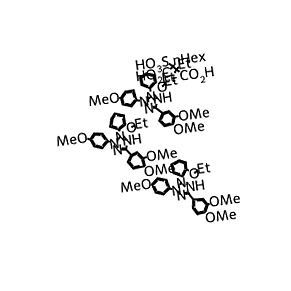 CCCCCCC(C(=O)O)(C(CC)(CC)C(=O)O)S(=O)(=O)O.CCOc1ccccc1N1NC(c2ccc(OC)c(OC)c2)=NN1c1ccc(OC)cc1.CCOc1ccccc1N1NC(c2ccc(OC)c(OC)c2)=NN1c1ccc(OC)cc1.CCOc1ccccc1N1NC(c2ccc(OC)c(OC)c2)=NN1c1ccc(OC)cc1